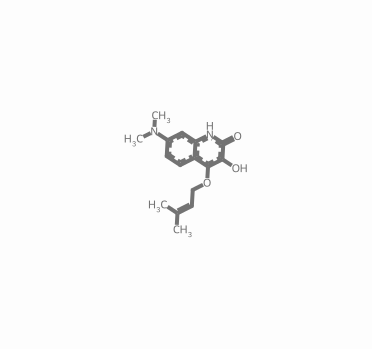 CC(C)=CCOc1c(O)c(=O)[nH]c2cc(N(C)C)ccc12